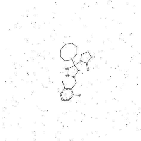 O=C1NCCN1C1(C2CCCCCCC2)CN(Cc2c(F)cccc2F)NN1